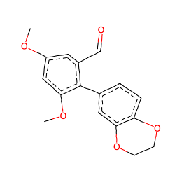 COc1cc(C=O)c(-c2ccc3c(c2)OCCO3)c(OC)c1